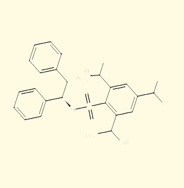 CC(C)c1cc(C(C)C)c(S(=O)(=O)N[C@@H](c2ccccc2)[C@@H](N)c2ccccc2)c(C(C)C)c1